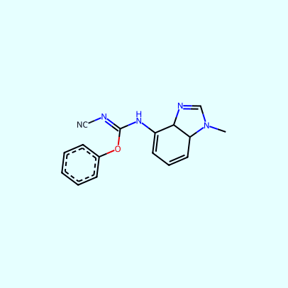 CN1C=NC2C(NC(=NC#N)Oc3ccccc3)=CC=CC21